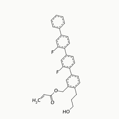 C=CC(=O)OCc1cc(-c2ccc(-c3ccc(-c4ccccc4)cc3F)cc2F)ccc1CCCO